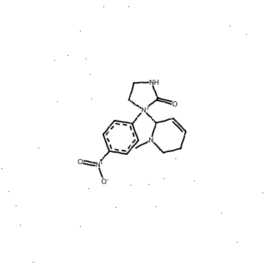 CN1CCC=CC1[N+]1(c2ccc([N+](=O)[O-])cc2)CCNC1=O